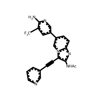 CC(=O)Nc1nc2ccc(-c3cnc(N)c(C(F)(F)F)c3)cn2c1C#Cc1cccnc1